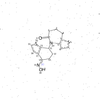 O=C1CCCc2sccc2N1C1CC/C(=N\O)c2ccsc21